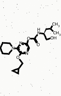 CC(C)C[C@@H](CO)NC(=O)Oc1cnc(OCC2CC2)c(N2CCCCC2)n1